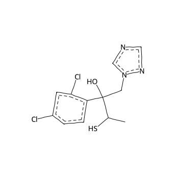 CC(S)C(O)(Cn1cncn1)c1ccc(Cl)cc1Cl